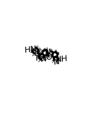 Cc1ccc2[nH]ncc2c1Oc1nccc2c(N3CCNCC3)ncnc12